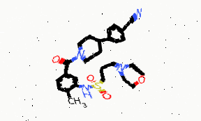 Cc1ccc(C(=O)N2CCC(c3ccc(C#N)cc3)CC2)cc1NS(=O)(=O)CCCN1CCOCC1